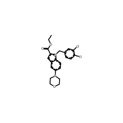 CCOC(=O)c1cc2cc(N3CCOCC3)ccc2n1Cc1ccc(Cl)c(Cl)c1